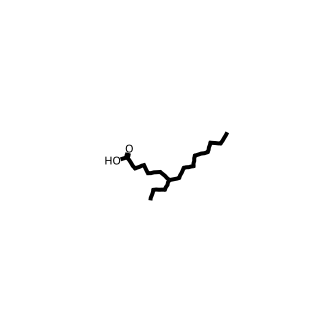 CCCCCCCCC(CCC)CCCCC(=O)O